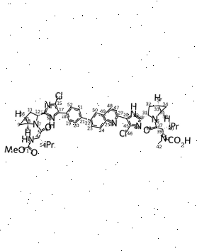 COC(=O)N[C@H](C(=O)N1[C@@H]2C[C@H]2C[C@H]1c1nc(Cl)c(-c2ccc(-c3ccc4nc(-c5[nH]c([C@@H]6C[C@H]7C[C@H]7N6C(=O)[C@H](C(C)C)N(C)C(=O)O)nc5Cl)ccc4c3)cc2)[nH]1)C(C)C